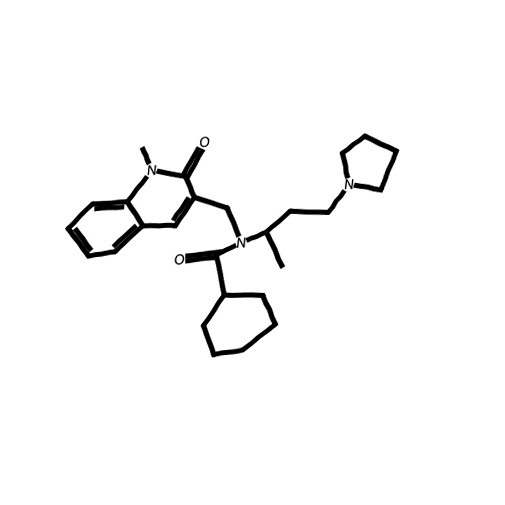 CC(CCN1CCCC1)N(Cc1cc2ccccc2n(C)c1=O)C(=O)C1CCCCC1